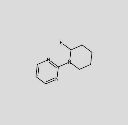 FC1CCCCN1c1ncccn1